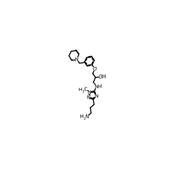 Cn1nc(CCCN)nc1NCC(O)COc1cccc(CN2CCCCC2)c1